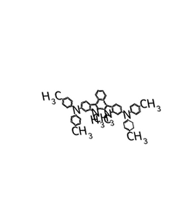 CC1=CC=C(N(c2ccc(C)cc2)c2ccc3c4c5ccccc5c5c6ccc(N(c7ccc(C)cc7)c7ccc(C)cc7)cc6n(C)c5c4n(C)c3c2)CC1